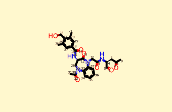 CC(=O)C[C@@H](C=O)NC(=O)CN1C(=O)[C@@H](NC(=O)c2cc(C)c(CO)c(C)c2)CN(C(C)=O)c2ccccc21